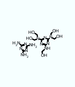 Nc1nc(N)nc(N)n1.OCNc1nc(N(CO)CO)nc(N(CO)CO)n1